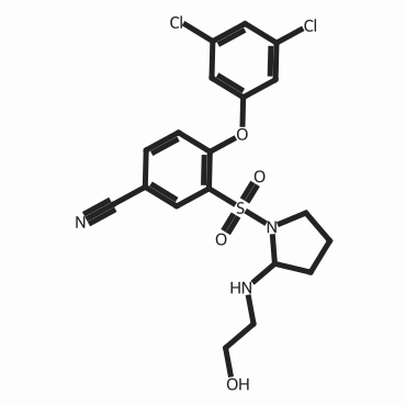 N#Cc1ccc(Oc2cc(Cl)cc(Cl)c2)c(S(=O)(=O)N2CCCC2NCCO)c1